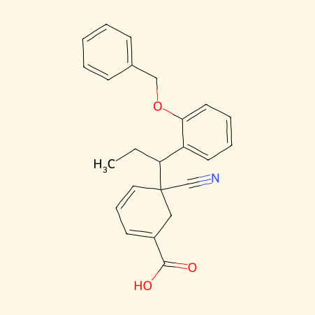 CCC(c1ccccc1OCc1ccccc1)C1(C#N)C=CC=C(C(=O)O)C1